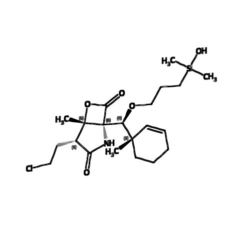 C[C@@]12OC(=O)[C@]1([C@@H](OCCC[Si](C)(C)O)[C@]1(C)C=CCCC1)NC(=O)[C@@H]2CCCl